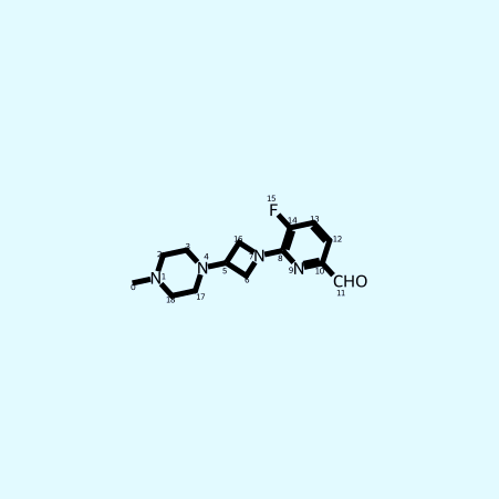 CN1CCN(C2CN(c3nc(C=O)ccc3F)C2)CC1